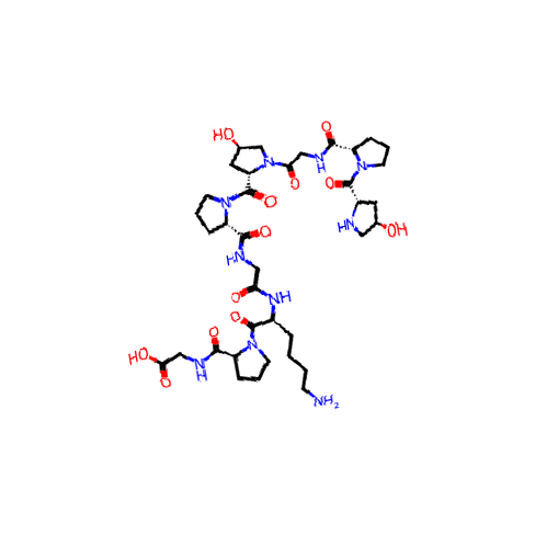 NCCCC[C@H](NC(=O)CNC(=O)[C@@H]1CCCN1C(=O)[C@@H]1C[C@@H](O)CN1C(=O)CNC(=O)[C@@H]1CCCN1C(=O)[C@@H]1C[C@@H](O)CN1)C(=O)N1CCC[C@H]1C(=O)NCC(=O)O